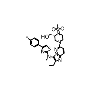 CCc1nc2ccc(N3CCN(S(C)(=O)=O)[C@@H](CO)C3)nn2c1N(C)c1nc(-c2ccc(F)cc2)cs1